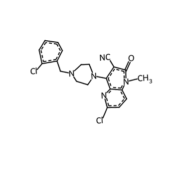 Cn1c(=O)c(C#N)c(N2CCN(Cc3ccccc3Cl)CC2)c2nc(Cl)ccc21